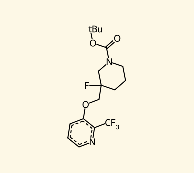 CC(C)(C)OC(=O)N1CCCC(F)(COc2cccnc2C(F)(F)F)C1